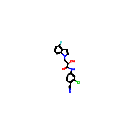 N#Cc1ccc(NC(=O)[C@@H](O)Cn2ccc3c(F)cccc32)cc1Cl